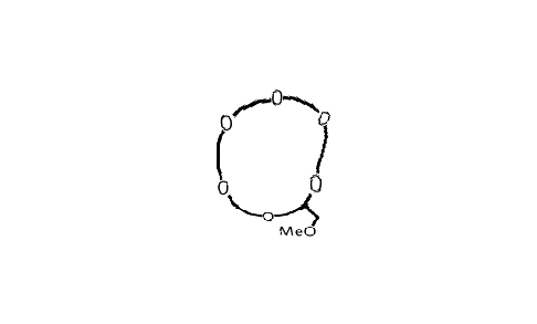 COCC1COCCOCCOCCOCCOCCO1